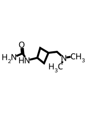 CN(C)CC1CC(NC(N)=O)C1